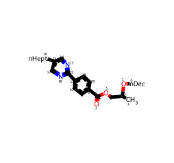 CCCCCCCCCCOC(C)COC(=O)c1ccc(-c2ncc(CCCCCCC)cn2)cc1